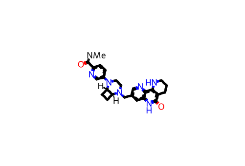 CNC(=O)c1ccc(N2CCN(Cc3cnc4c5c(c(=O)[nH]c4c3)CCCN5)[C@H]3CC[C@@H]32)cn1